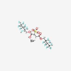 O=C(CC(C(=O)OCC(F)(F)C(F)(F)C(F)(F)F)S(=O)(=O)[O-])OCC(F)(F)C(F)(F)C(F)(F)F.[Na+]